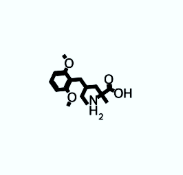 CCC(Cc1c(OC)cccc1OC)CC(C)(N)C(=O)O